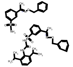 C/C(=N\OCc1ccccc1)c1cccc(S(=O)(=O)NC(=O)Nc2c(C(C)C)cccc2C(C)C)c1.C/C(=N\OCc1ccccc1)c1cccc(S(N)(=O)=O)c1